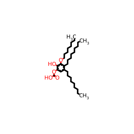 CCCCCCCCCc1cc(OC(=O)O)c(O)c(OCCCCCCCC)c1CCCCCCCCC